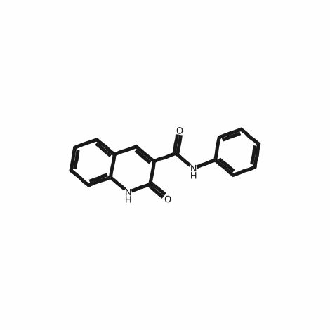 O=C(Nc1ccccc1)c1cc2ccccc2[nH]c1=O